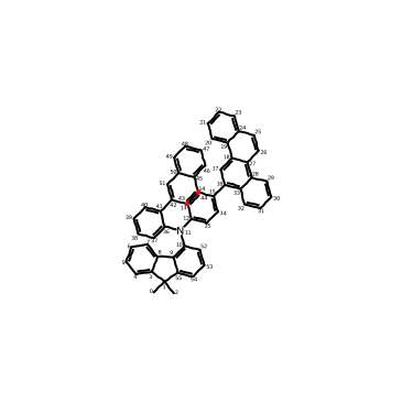 CC1(C)c2ccccc2-c2c(N(c3ccc(-c4cc5c6ccccc6ccc5c5ccccc45)cc3)c3ccccc3-c3ccc4ccccc4c3)cccc21